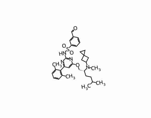 Cc1cccc(C)c1-c1cc(OC[C@@H](CCC(C)C)N(C)C2CC3(CC3)C2)nc(NS(=O)(=O)c2cccc(C=O)c2)n1